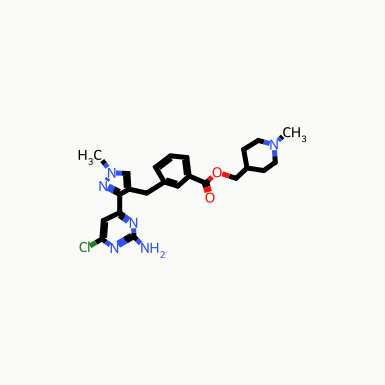 CN1CCC(COC(=O)c2cccc(Cc3cn(C)nc3-c3cc(Cl)nc(N)n3)c2)CC1